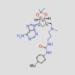 CN(CCCNC(=O)Nc1ccc(C(C)(C)C)cc1)C[C@H]1C[C@@H](n2cnc3c(N)ncnc32)[C@@H]2OC(C)(C)O[C@H]12